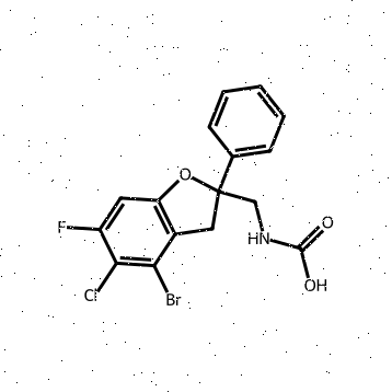 O=C(O)NCC1(c2ccccc2)Cc2c(cc(F)c(Cl)c2Br)O1